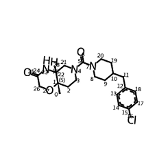 C[C@]12CCN(C(=O)N3CCC(Cc4ccc(Cl)cc4)CC3)C[C@H]1NC(=O)CO2